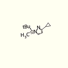 C[C@H](n1ccc(C2CC2)n1)C(C)(C)C